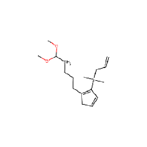 C=CC[Si](C)(C)C1=C(CCC[SiH2]C(OC)OC)CC=C1